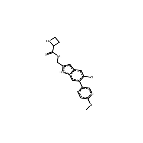 COc1cnc(-c2cc3[nH]c(CNC(=O)C4CCN4)cc3cc2Cl)cn1